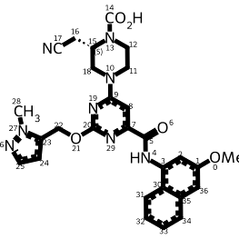 COc1cc(NC(=O)c2cc(N3CCN(C(=O)O)[C@@H](CC#N)C3)nc(OCc3ccnn3C)n2)c2ccccc2c1